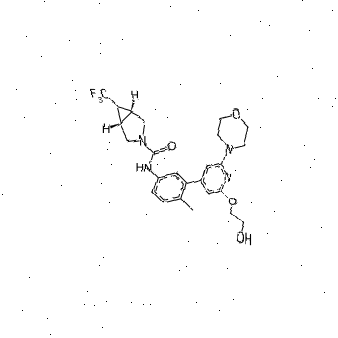 Cc1ccc(NC(=O)N2C[C@@H]3C(C(F)(F)F)[C@@H]3C2)cc1-c1cc(OCCO)nc(N2CCOCC2)c1